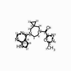 Cc1nnc(C(=O)N2CCN(c3ncnc4[nH]ccc34)CC3(CC3)C2)o1